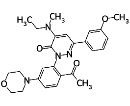 CCN(C)c1cc(-c2cccc(OC)c2)nn(-c2cc(N3CCOCC3)ccc2C(C)=O)c1=O